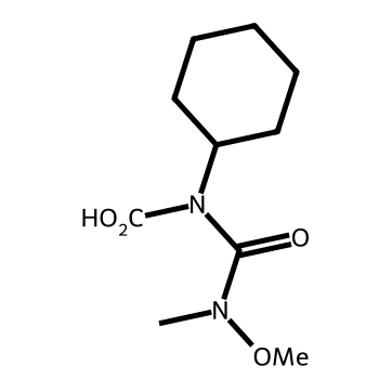 CON(C)C(=O)N(C(=O)O)C1CCCCC1